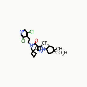 CC1(CN(CCc2c(Cl)cncc2Cl)C(=O)c2cnn(C3CCC(C)(C(=O)O)CC3)c2C(F)(F)F)CCC1